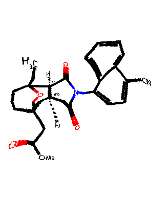 COC(=O)CC12CCC(C)(O1)[C@H]1C(=O)N(c3ccc(C#N)c4ccccc34)C(=O)[C@H]12